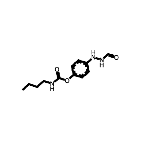 CCCCNC(=O)Oc1ccc(NNC=O)cc1